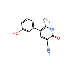 Cc1[nH]c(=O)c(C#N)cc1-c1cccc(O)c1